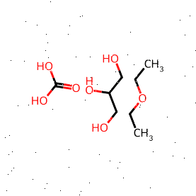 CCOCC.O=C(O)O.OCC(O)CO